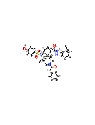 COc1ccc(S(=O)(=O)N2c3ccc(C(=O)NCc4ccccc4C)cc3C3(CCN(C(=O)Cc4ccccc4)CC3)C2C)cc1